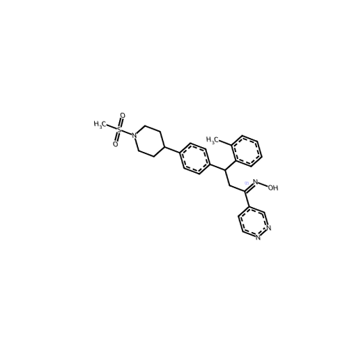 Cc1ccccc1C(C/C(=N/O)c1ccnnc1)c1ccc(C2CCN(S(C)(=O)=O)CC2)cc1